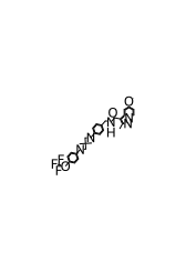 COc1ccn2nc(C)c(C(=O)NCc3ccc(N4CC5(C4)CN(c4ccc(OC(F)(F)F)cc4)C5)cc3)c2c1